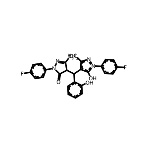 CC1=NN(c2ccc(F)cc2)C(=O)C1C(c1ccccc1O)c1c(C)nn(-c2ccc(F)cc2)c1O